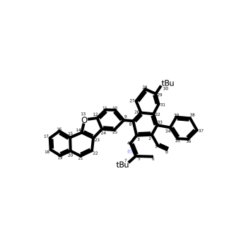 C=Cc1c(/C=C(\C)C(C)(C)C)c(-c2ccc3oc4c5ccccc5ccc4c3c2)c2ccc(C(C)(C)C)cc2c1-c1ccccc1